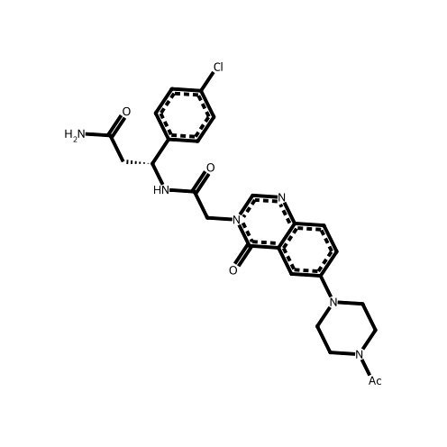 CC(=O)N1CCN(c2ccc3ncn(CC(=O)N[C@H](CC(N)=O)c4ccc(Cl)cc4)c(=O)c3c2)CC1